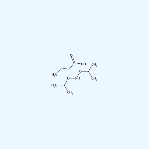 CC(C)ONOC(C)C.CCCC(=O)O